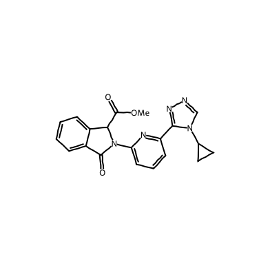 COC(=O)C1c2ccccc2C(=O)N1c1cccc(-c2nncn2C2CC2)n1